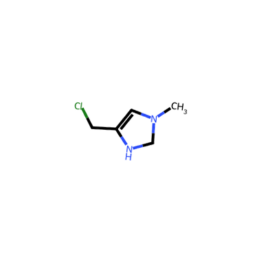 CN1C=C(CCl)NC1